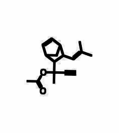 C#CC(C)(OC(C)=O)C1C2C=CC(C2)C1C=C(C)C